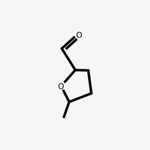 CC1CCC(C=O)O1